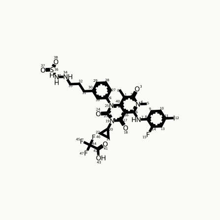 Cc1c(=O)n(C)c(Nc2ccc(I)cc2F)c2c(=O)n(C3CC3)c(=O)n(-c3cccc(CCCNN[SH](=O)=O)c3)c12.O=C(O)C(F)(F)F